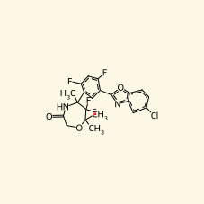 CC1(C)OCC(=O)NC(C)(c2cc(-c3nc4cc(Cl)ccc4o3)c(F)cc2F)C1(F)F